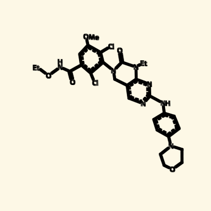 CCONC(=O)c1cc(OC)c(Cl)c(N2Cc3cnc(Nc4ccc(N5CCOCC5)cc4)nc3N(CC)C2=O)c1Cl